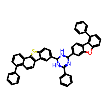 c1ccc(C2=NC(c3ccc4c(c3)oc3cccc(-c5ccccc5)c34)NC(c3ccc4sc5c6cccc(-c7ccccc7)c6ccc5c4c3)N2)cc1